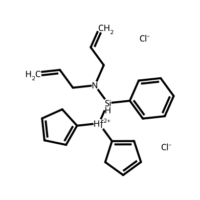 C=CCN(CC=C)[SiH](c1ccccc1)[Hf+2]([C]1=CC=CC1)[C]1=CC=CC1.[Cl-].[Cl-]